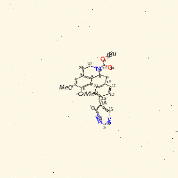 COc1cc2c(cc1OC)C(Cc1ccc(-c3cncnc3)cc1)N(C(=O)OC(C)(C)C)CC2